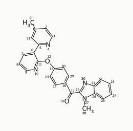 Cc1ccnc(-c2cccnc2Oc2ccc(C(=O)c3nc4ccccc4n3C)cc2)c1